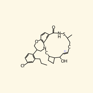 CCCc1cc(Cl)ccc1C1COc2ccc3cc2N(C1)CC1CCC1C(O)/C=C/CCC(C)SNC3=O